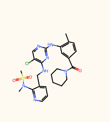 Cc1ccc(C(=O)N2CCCCC2)cc1Nc1ncc(Cl)c(NCc2cccnc2N(C)S(C)(=O)=O)n1